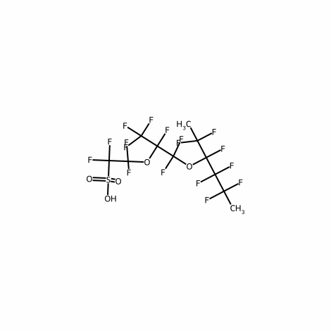 CC(F)(F)C(F)(F)C(F)(OC(F)(F)C(F)(OC(F)(F)C(F)(F)S(=O)(=O)O)C(F)(F)F)C(C)(F)F